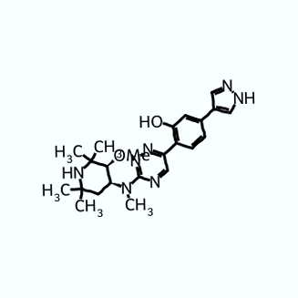 CO[C@H]1[C@@H](N(C)c2ncc(-c3ccc(-c4cn[nH]c4)cc3O)nn2)CC(C)(C)NC1(C)C